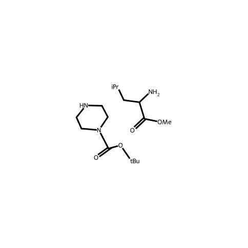 CC(C)(C)OC(=O)N1CCNCC1.COC(=O)C(N)CC(C)C